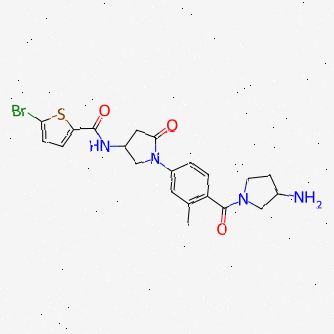 Cc1cc(N2CC(NC(=O)c3ccc(Br)s3)CC2=O)ccc1C(=O)N1CCC(N)C1